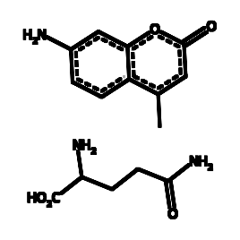 Cc1cc(=O)oc2cc(N)ccc12.NC(=O)CCC(N)C(=O)O